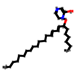 CCCCCCCCCCCCC/C=C/C=C/C(CCCCCC)ON1CC=NC=C1O